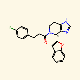 O=C(CCc1ccc(F)cc1)N1CCc2[nH]cnc2[C@@H]1c1cc2ccccc2o1